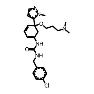 CN(C)CCCOC1(c2ccnn2C)C=CC=C(NC(=O)NCc2ccc(Cl)cc2)C1